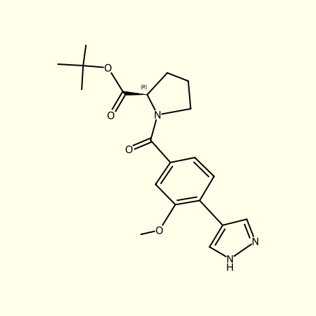 COc1cc(C(=O)N2CCC[C@@H]2C(=O)OC(C)(C)C)ccc1-c1cn[nH]c1